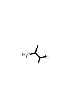 CC[C](I)C(C)I